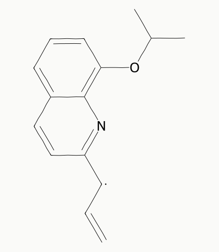 C=C[CH]c1ccc2cccc(OC(C)C)c2n1